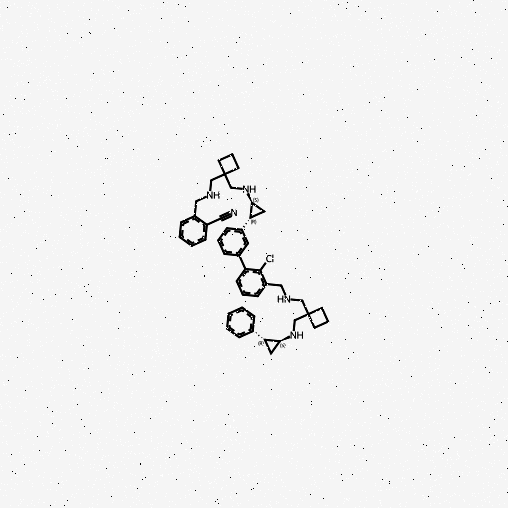 N#Cc1ccccc1CNCC1(CN[C@H]2C[C@@H]2c2cccc(-c3cccc(CNCC4(CN[C@H]5C[C@@H]5c5ccccc5)CCC4)c3Cl)c2)CCC1